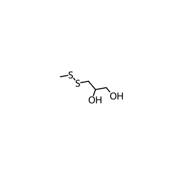 CSSCC(O)CO